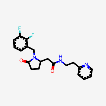 O=C(CC1CCC(=O)N1Cc1cccc(F)c1F)NCCc1ccccn1